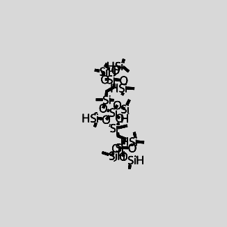 C[SiH](C)O[Si](CC[Si](C)(C)O[Si](O[SiH](C)C)(O[SiH](C)C)O[Si](C)(C)CC[Si](O[SiH](C)C)(O[SiH](C)C)O[SiH](C)C)(O[SiH](C)C)O[SiH](C)C